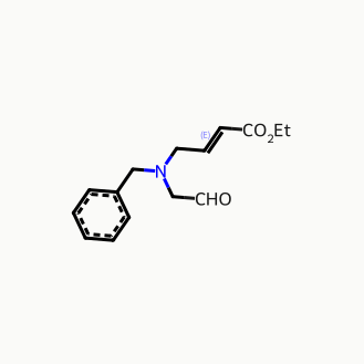 CCOC(=O)/C=C/CN(CC=O)Cc1ccccc1